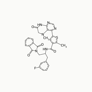 Cc1sc(-c2ncnc3c2N(C)CC(=O)N3)cc1C(=O)NC(Cc1cccc(F)c1)CN1C(=O)c2ccccc2C1=O